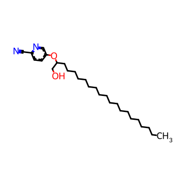 CCCCCCCCCCCCCCCCCCCC(CO)Oc1ccc(C#N)nc1